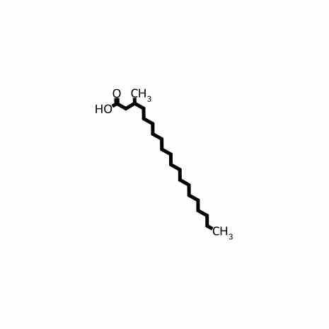 CCCCCCCCCCCCCCCCCC(C)CC(=O)O